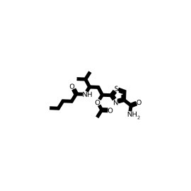 CCCCC(=O)NC(CC(OC(C)=O)c1nc(C(N)=O)cs1)C(C)C